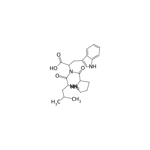 CC(C)CC(N)C(=O)N(C(=O)C1CCCN1)C(Cc1c[nH]c2ccccc12)C(=O)O